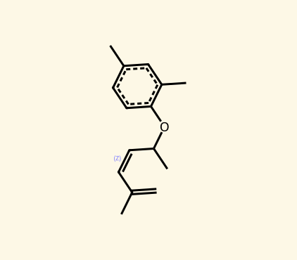 C=C(C)/C=C\C(C)Oc1ccc(C)cc1C